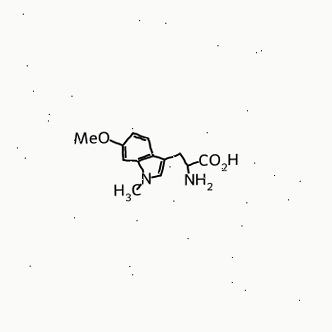 COc1ccc2c(CC(N)C(=O)O)cn(C)c2c1